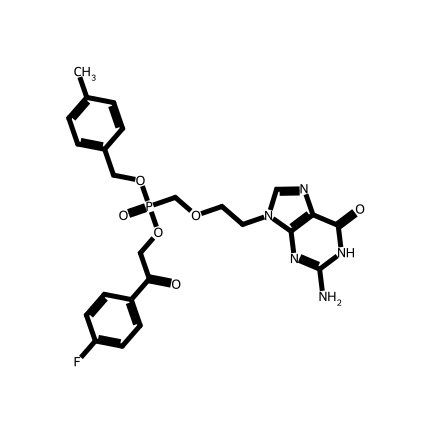 Cc1ccc(COP(=O)(COCCn2cnc3c(=O)[nH]c(N)nc32)OCC(=O)c2ccc(F)cc2)cc1